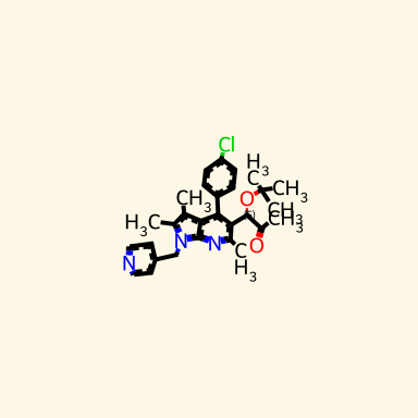 CC(=O)[C@@H](OC(C)(C)C)c1c(C)nc2c(c(C)c(C)n2Cc2ccncc2)c1-c1ccc(Cl)cc1